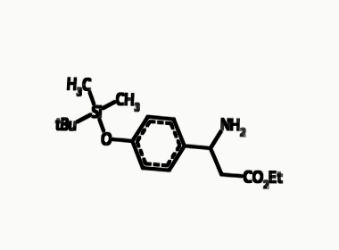 CCOC(=O)CC(N)c1ccc(O[Si](C)(C)C(C)(C)C)cc1